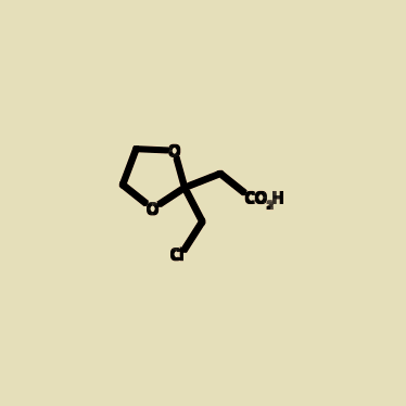 O=C(O)CC1(CCl)OCCO1